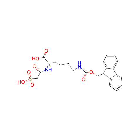 O=C(CS(=O)(=O)O)N[C@@H](CCCCNC(=O)OCC1c2ccccc2-c2ccccc21)C(=O)O